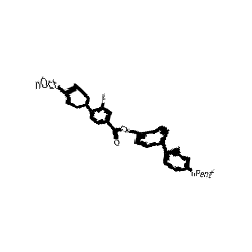 CCCCCCCCC1CCC(c2ccc(C(=O)Oc3ccc(-c4ccc(CCCCC)cc4)cc3)cc2F)CC1